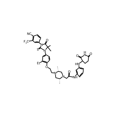 CCc1cc(N2C(=S)N(c3ccc(C#N)c(C(F)(F)F)c3)C(=O)C2(C)C)ccc1OCCN1C[C@@H](C)N(CC(=O)Nc2cccc(NC3CCC(=O)NC3=O)c2)C[C@H]1C